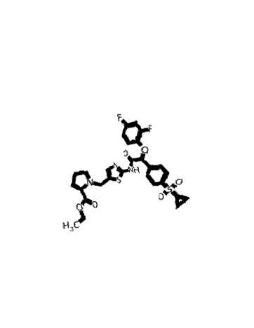 CCOC(=O)C1CCCN1Cc1cnc(NC(=O)C(Oc2ccc(F)cc2F)c2ccc(S(=O)(=O)C3CC3)cc2)s1